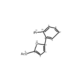 CC(=O)Oc1ccc(-c2ccccc2C(C)C)o1